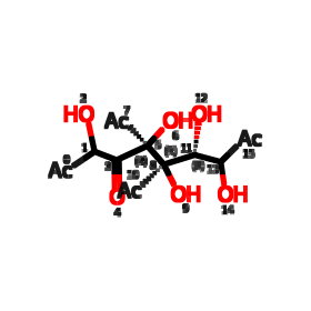 CC(=O)C(O)C(=O)[C@](O)(C(C)=O)[C@@](O)(C(C)=O)[C@H](O)C(O)C(C)=O